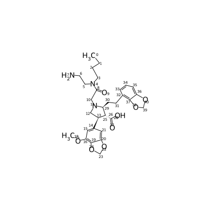 CCCCN(CCN)C(=O)CN1C[C@H](c2cc(OC)c3c(c2)OCO3)[C@@H](C(=O)O)[C@@H]1CCc1cccc2c1OCO2